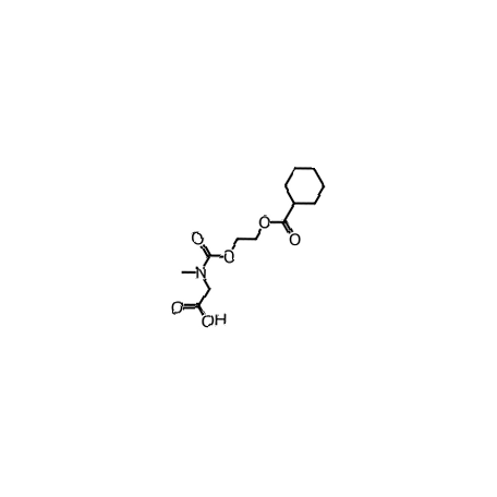 CN(CC(=O)O)C(=O)OCCOC(=O)C1CCCCC1